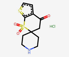 Cl.O=C1CC2(CCNCC2)S(=O)(=O)c2sccc21